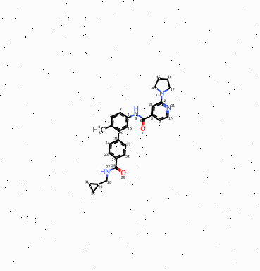 Cc1ccc(NC(=O)c2ccnc(N3CCCC3)c2)cc1-c1ccc(C(=O)NCC2CC2)cc1